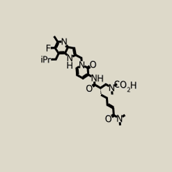 Cc1nc2cc(Cn3cccc(NC(=O)[C@@H](CC/C=C/C(=O)N(C)C)CN(C)C(=O)O)c3=O)[nH]c2c(CC(C)C)c1F